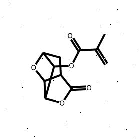 C=C(C)C(=O)OC1C2CC3C(=O)OC1C3O2